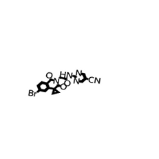 N#Cc1cnc(NC(=O)CN2C(=O)c3ccc(Br)cc3C3(CC3)C2=O)nc1